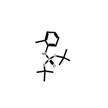 Cc1ccccc1NP(=O)(OC(C)(C)C)OC(C)(C)C